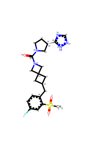 CS(=O)(=O)c1cc(F)ccc1CC1CC2(C1)CN(C(=O)N1CC[C@H](c3ncn[nH]3)C1)C2